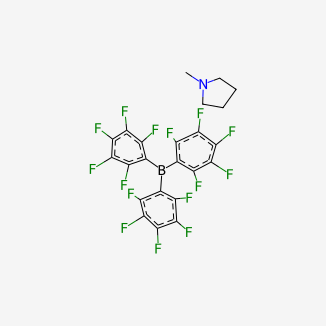 CN1CCCC1.Fc1c(F)c(F)c(B(c2c(F)c(F)c(F)c(F)c2F)c2c(F)c(F)c(F)c(F)c2F)c(F)c1F